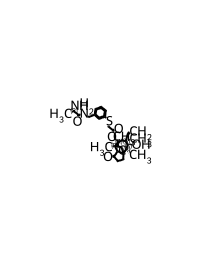 C=C[C@]1(C)C[C@@H](OC(=O)CSc2cccc(CNC(=O)[C@@H](C)N)c2)[C@]2(C)C(C)CCC3(CCC(=O)C32)[C@@H](C)[C@@H]1O